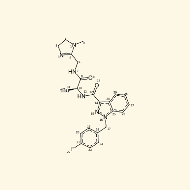 CN1CCN=C1CNC(=O)[C@@H](NC(=O)c1nn(Cc2ccc(F)cc2)c2ccccc12)C(C)(C)C